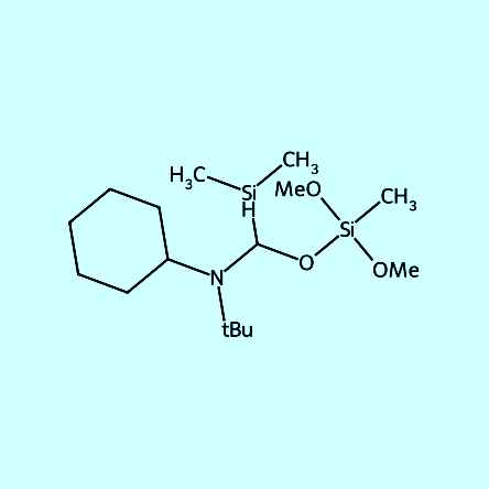 CO[Si](C)(OC)OC(N(C1CCCCC1)C(C)(C)C)[SiH](C)C